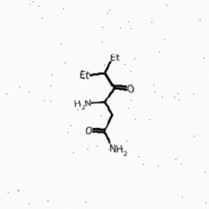 CCC(CC)C(=O)C(N)CC(N)=O